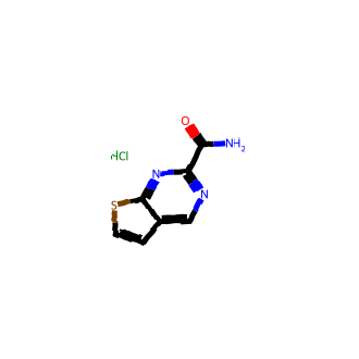 Cl.NC(=O)c1ncc2ccsc2n1